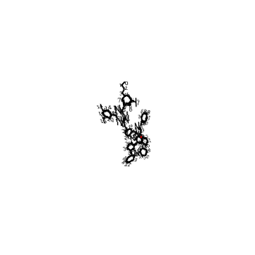 CCCCc1cc(I)cc(-c2nc(-c3cc(I)cc(I)c3)nc(-c3ccc(-n4c5ccccc5c5c4ccc4c6ccccc6n(-c6ccccc6)c45)c(-c4nc(-c5ccccc5)cc(-c5ccccc5)n4)c3)n2)c1